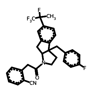 CC(F)(c1ccc2c(c1)CC1N(C(=O)Cc3ccccc3C#N)CCC21Cc1ccc(F)cc1)C(F)(F)F